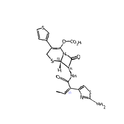 C/C=C(\C(=O)N[C@@H]1C(=O)N2C(OC(=O)O)=C(c3ccsc3)CS[C@@H]12)c1csc(N)n1